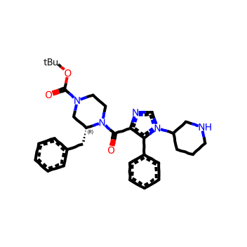 CC(C)(C)OC(=O)N1CCN(C(=O)c2ncn(C3CCCNC3)c2-c2ccccc2)[C@H](Cc2ccccc2)C1